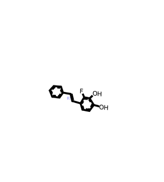 Oc1ccc(/C=C/c2ccccc2)c(F)c1O